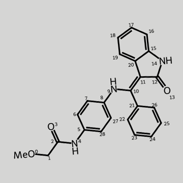 COCC(=O)Nc1ccc(NC(=C2C(=O)Nc3ccccc32)c2ccccc2)cc1